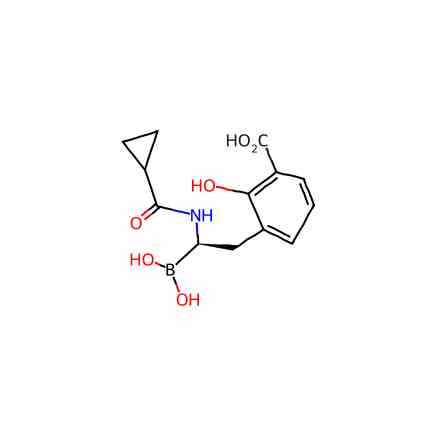 O=C(O)c1cccc(C[C@H](NC(=O)C2CC2)B(O)O)c1O